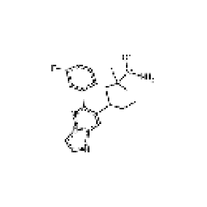 CCC(CC(C)(C)[S+](N)[O-])c1cc2nccn2nc1-c1cccc(F)c1